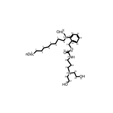 CCCCCCCCCCCCCCCCCCN(C=O)c1ccccc1COC(=O)NCCCN(CCO)CCO